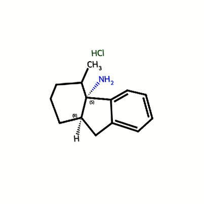 CC1CCC[C@@H]2Cc3ccccc3[C@]12N.Cl